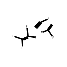 C#CF.C=C(F)F.FC(F)=C(F)Cl